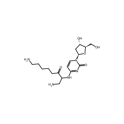 NCCCCCC(=O)C(CN)Nc1ccn([C@H]2C[C@H](O)[C@@H](CO)O2)c(=O)n1